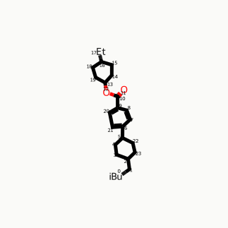 CCC(C)CC1CCC(c2ccc(C(=O)OC3CCC(CC)CC3)cc2)CC1